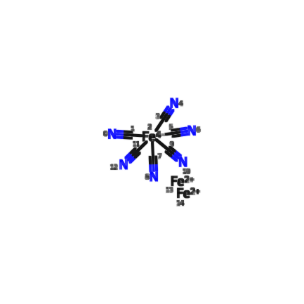 N#[C][Fe-4]([C]#N)([C]#N)([C]#N)([C]#N)[C]#N.[Fe+2].[Fe+2]